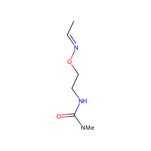 CC=NOCCNC(=O)NC